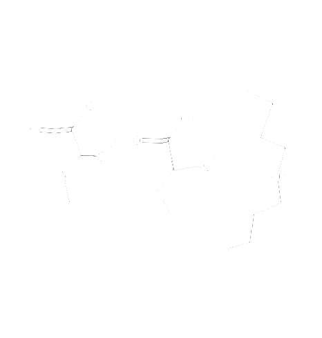 CCC[CH2][Sn+2][CH2]CCC.CSC(SC)C(=O)[O-].CSC(SC)C(=O)[O-]